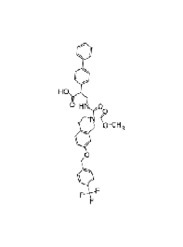 COC(=O)[N+]1(C(=O)NCC(C(=O)O)c2ccc(-c3ccccc3)cc2)CCc2ccc(OCc3ccc(C(F)(F)F)cc3)cc2C1